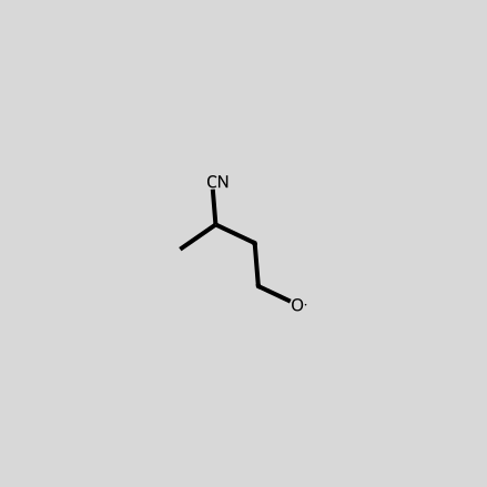 CC(C#N)CC[O]